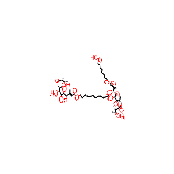 C/C(=C\C(=O)OCCCCCCCCC(=O)O[C@@H]1[C@H](O)[C@@H](C[C@@H]2O[C@H]2[C@@H](C)[C@H](C)O)CO[C@H]1C/C(C)=C/C(=O)OCCCCCCCCC(=O)O)C[C@@H]1OC[C@H](C[C@@H]2O[C@H]2[C@@H](C)[C@H](C)O)[C@@H](O)[C@H]1O